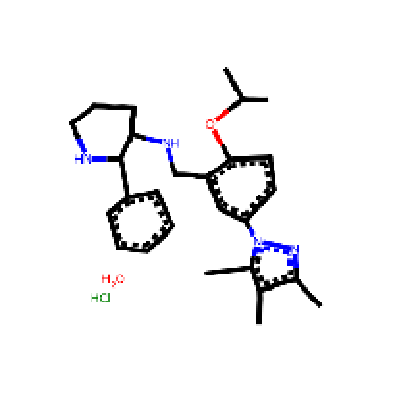 Cc1nn(-c2ccc(OC(C)C)c(CNC3CCCNC3c3ccccc3)c2)c(C)c1C.Cl.O